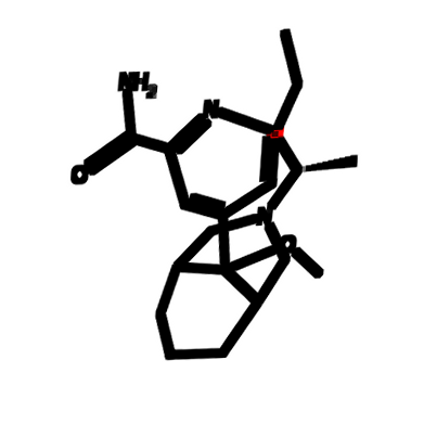 CCC[C@H](C)N1CC2CCCC(C1)C2(OC)c1ccnc(C(N)=O)c1